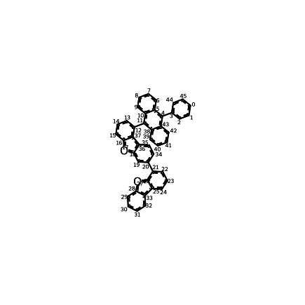 c1ccc(-c2c3ccccc3c(-c3cccc4oc5cc(-c6cccc7c6oc6ccccc67)ccc5c34)c3ccccc23)cc1